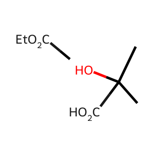 CC(C)(O)C(=O)O.CCOC(C)=O